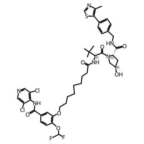 Cc1ncsc1-c1ccc(CNC(=O)[C@@H]2C[C@@H](O)CN2C(=O)[C@@H](NC(=O)CCCCCCCCOc2cc(C(=O)Nc3c(Cl)cncc3Cl)ccc2OC(F)F)C(C)(C)C)cc1